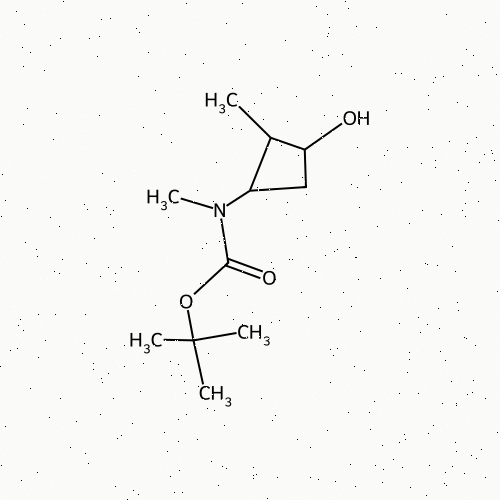 CC1C(O)CC1N(C)C(=O)OC(C)(C)C